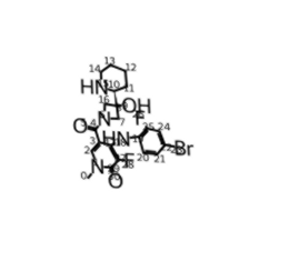 Cn1cc(C(=O)N2CC(O)([C@@H]3CCCCN3)C2)c(Nc2ccc(Br)cc2F)c(F)c1=O